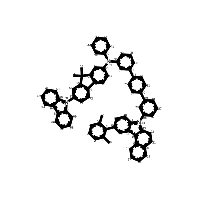 Cc1cccc(C)c1-c1ccc2c(c1)c1c3ccccc3ccc1n2-c1cccc(-c2ccc(-c3cccc(N(c4ccccc4)c4ccc5c(c4)C(C)(C)c4cc(-n6c7ccccc7c7ccccc76)ccc4-5)c3)cc2)c1